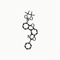 CC1(C)OB(c2cccc3c2oc2ccc4oc(-c5ccccc5)nc4c23)OC1(C)C